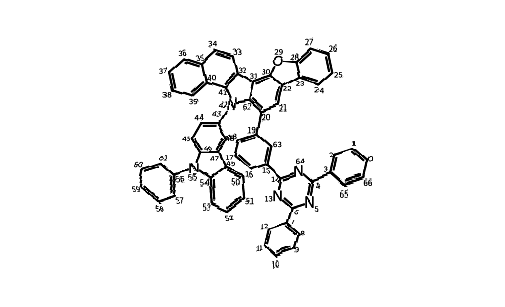 c1ccc(-c2nc(-c3ccccc3)nc(-c3cccc(-c4cc5c6ccccc6oc5c5c6ccc7ccccc7c6n(-c6ccc7c(c6)c6ccccc6n7-c6ccccc6)c45)c3)n2)cc1